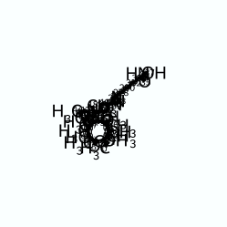 CCC1OC(=O)[C@H](C)[C@H](O)[C@H](C)[C@@H](OC2C[C@@H](N(C)Cc3ccc(-c4cn(CCCCCCCC(=O)NO)nn4)cc3)C[C@@H](C)O2)[C@@](C)(OC)C[C@@H](C)C(=O)[C@H](C)[C@@H](O)[C@]1(C)O